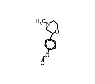 CN1CCOC(c2ccc(OC=O)cc2)C1